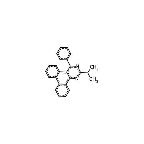 CC(C)c1nc(-c2ccccc2)c2c3ccccc3c3ccccc3c2n1